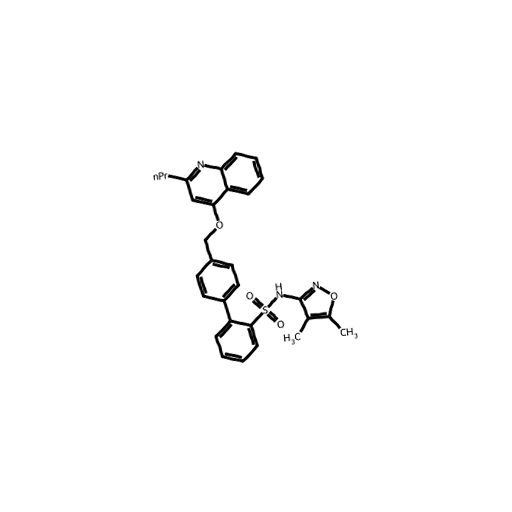 CCCc1cc(OCc2ccc(-c3ccccc3S(=O)(=O)Nc3noc(C)c3C)cc2)c2ccccc2n1